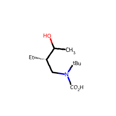 CC[C@@H](CN(C(=O)O)C(C)(C)C)C(C)O